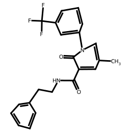 Cc1cc(C(=O)NCCc2ccccc2)c(=O)n(-c2cccc(C(F)(F)F)c2)c1